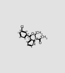 CCN(C(C)=O)c1ncccc1C(=O)c1cccc(Cl)c1